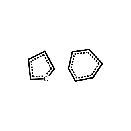 [c]1ccco1.c1ccccc1